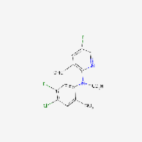 O=Cc1cc(F)cnc1N(C(=O)O)c1cc(F)c(Cl)cc1[N+](=O)[O-]